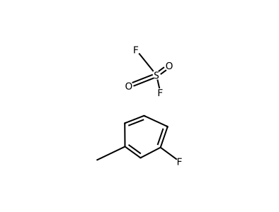 Cc1cccc(F)c1.O=S(=O)(F)F